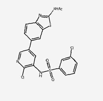 CC(=O)Nc1nc2ccc(-c3cnc(Cl)c(NS(=O)(=O)c4cccc(Cl)c4)c3)cc2s1